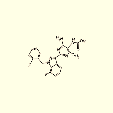 Nc1nc(-c2nn(Cc3ccccc3F)c3c(F)cccc23)nc(N)c1NC(=O)O